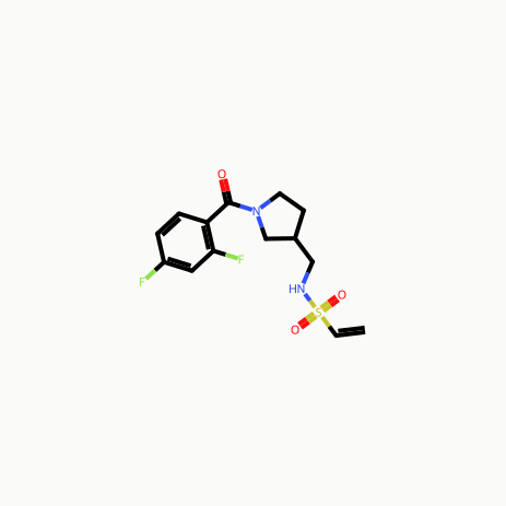 C=CS(=O)(=O)NCC1CCN(C(=O)c2ccc(F)cc2F)C1